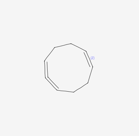 C1=CCC/C=C\CCC=1